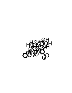 CCC1CC(C(=O)OC)C[C@@H](OC2OC(CO)[C@H](O)C(O[C@H](C=O)CC3CCCCC3)C2NC(C)=O)C1OC1O[C@@H](C)C(O)C(O)C1O